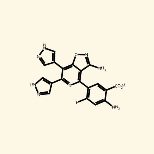 Nc1cc(F)c(-c2nc(-c3cn[nH]c3)c(-c3cn[nH]c3)c3onc(N)c23)cc1C(=O)O